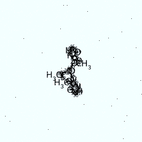 COc1cc2c(cc1OCCCP(=O)(CCCOc1cc3c(cc1OC)C(=O)N1CCC[C@H]1C=N3)CCCS(C)=S)N=C[C@@H]1CCCN1C2=O